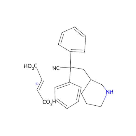 N#CC(CC1CCCNC1)(c1ccccc1)c1ccccc1.O=C(O)/C=C/C(=O)O